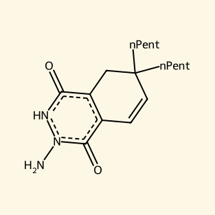 CCCCCC1(CCCCC)C=Cc2c(c(=O)[nH]n(N)c2=O)C1